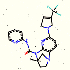 O=C(Nc1ccccn1)N1c2nc(N3CC=C(C(F)(F)F)C3)ccc2N2CC[C@H]1C2